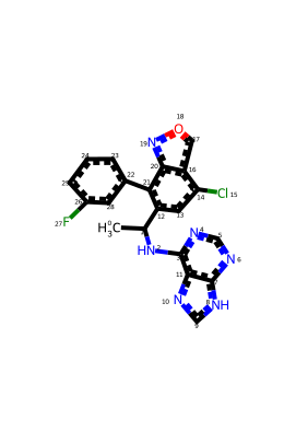 CC(Nc1ncnc2[nH]cnc12)c1cc(Cl)c2conc2c1-c1cccc(F)c1